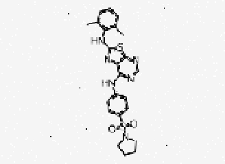 Cc1cccc(C)c1Nc1nc2c(Nc3ccc(S(=O)(=O)N4CCCC4)cc3)ncnc2s1